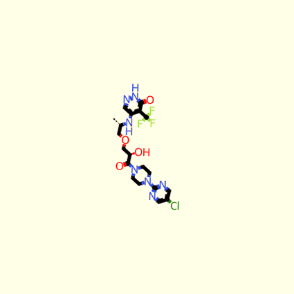 C[C@@H](COC[C@@H](O)C(=O)N1CCN(c2ncc(Cl)cn2)CC1)Nc1cn[nH]c(=O)c1C(F)(F)F